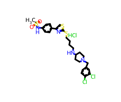 CS(=O)(=O)Nc1ccc(-c2csc(SCCCCNC3CCN(Cc4ccc(Cl)c(Cl)c4)CC3)n2)cc1.Cl